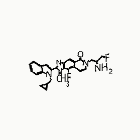 Cn1c(-c2cc3ccccc3n2CC2CC2)nc2cc3c(c(F)c21)CCN(CC(N)CF)C3=O